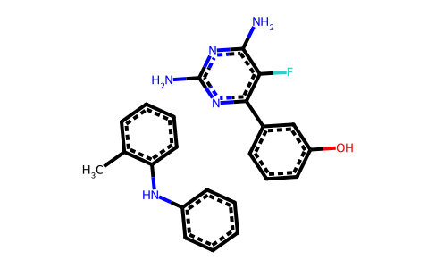 Cc1ccccc1Nc1ccccc1.Nc1nc(N)c(F)c(-c2cccc(O)c2)n1